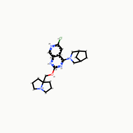 Clc1cc2c(N3CC4CCC(C4)C3)nc(OCC34CCCN3CCC4)nc2cn1